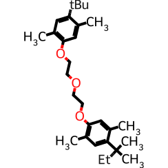 CCC(C)(C)c1cc(C)c(OCCOCCOc2cc(C)c(C(C)(C)C)cc2C)cc1C